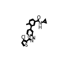 Cc1ccc(C(=O)NC2CC2)cc1-c1ccn2c(-c3sccc3Cl)nnc2c1